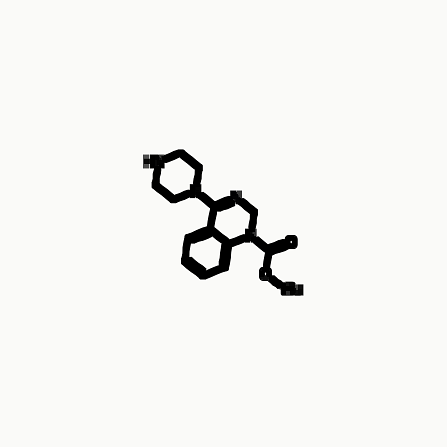 CC(C)(C)OC(=O)N1CN=C(N2CCNCC2)c2ccccc21